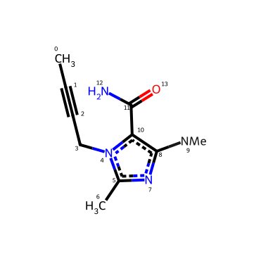 CC#CCn1c(C)nc(NC)c1C(N)=O